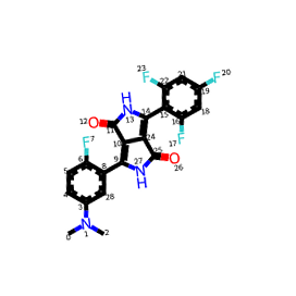 CN(C)c1ccc(F)c(C2=C3C(=O)NC(c4c(F)cc(F)cc4F)=C3C(=O)N2)c1